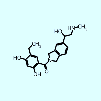 CCc1cc(C(=O)N2Cc3ccc(C(O)CNC)cc3C2)c(O)cc1O